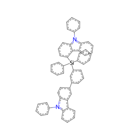 c1ccc(-n2c3ccccc3c3cc(-c4cccc([Si](c5ccccc5)(c5ccccc5)c5cccc6c5c5ccccc5n6-c5ccccc5)c4)ccc32)cc1